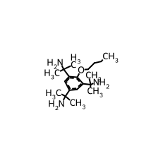 CCCCOc1c(C(C)(C)N)cc(C(C)(C)N)cc1C(C)(C)N